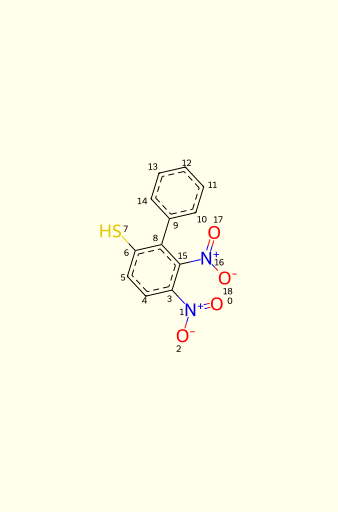 O=[N+]([O-])c1ccc(S)c(-c2ccccc2)c1[N+](=O)[O-]